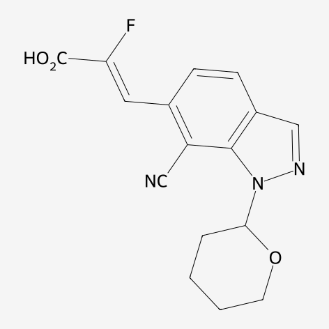 N#Cc1c(/C=C(\F)C(=O)O)ccc2cnn(C3CCCCO3)c12